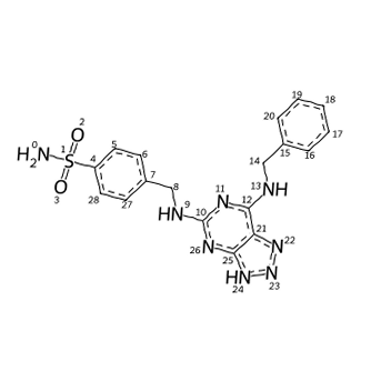 NS(=O)(=O)c1ccc(CNc2nc(NCc3ccccc3)c3nn[nH]c3n2)cc1